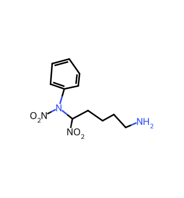 NCCCCC(N(c1ccccc1)[N+](=O)[O-])[N+](=O)[O-]